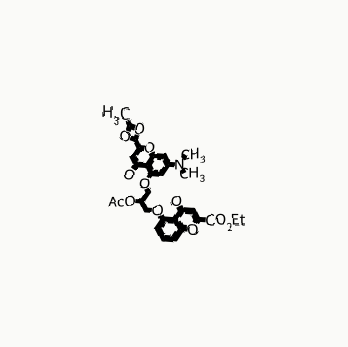 CCOC(=O)c1cc(=O)c2c(OCC(COc3cc(N(C)C)cc4oc(C5OC(C)O5)cc(=O)c34)OC(C)=O)cccc2o1